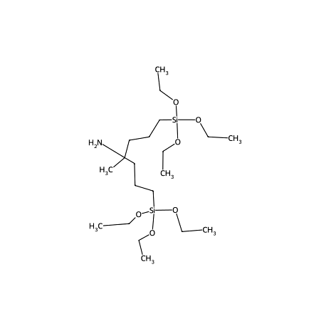 CCO[Si](CCCC(C)(N)CCC[Si](OCC)(OCC)OCC)(OCC)OCC